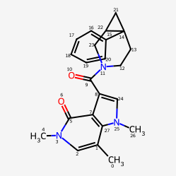 Cc1cn(C)c(=O)c2c(C(=O)N3CCC4(c5ccccc5)CC4C3)cn(C)c12